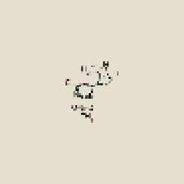 C[C@H]1[C@@H]2OC2CN1c1cc(Cl)nc(S(C)(=O)=O)n1